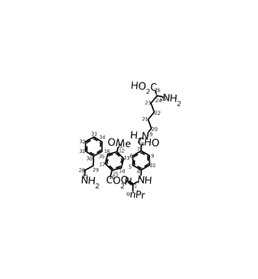 CCCC(=O)Nc1ccc(C=O)cc1.COc1ccc(C(=O)O)cc1.NCCCC[C@H](N)C(=O)O.NCCc1ccccc1